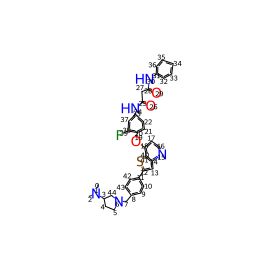 CN(C)C1CCN(Cc2ccc(-c3cc4nccc(Oc5ccc(NC(=O)CC(=O)Nc6ccccc6)cc5F)c4s3)cc2)C1